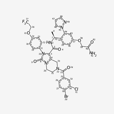 C[C@H](NC(=O)c1c2n(c(=O)n1-c1ccc(OCC(F)(F)F)cc1)CCN(C(=O)c1ccc(Br)c(Cl)c1)C2)c1ccc(OCC(N)=O)cc1-n1cccn1